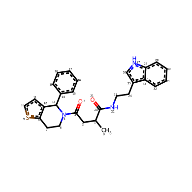 CC(CC(=O)N1CCc2sccc2C1c1ccccc1)C(=O)NCCc1c[nH]c2ccccc12